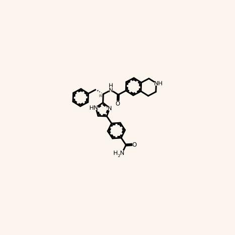 NC(=O)c1ccc(-c2c[nH]c([C@H](Cc3ccccc3)NC(=O)c3ccc4c(c3)CCNC4)n2)cc1